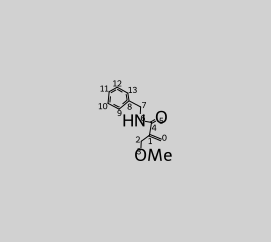 C=C(COC)C(=O)NCc1ccccc1